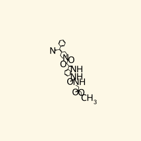 CCOC(=O)CCNC(=O)Nc1cccc2c(C(=O)C(=O)N3CCC(=C(C#N)c4ccccc4)CC3)c[nH]c12